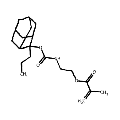 C=C(C)C(=O)OCCNC(=O)OC1(CCC)C2CC3CC(C2)CC1C3